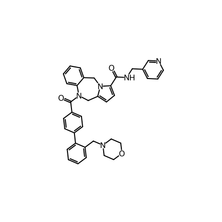 O=C(NCc1cccnc1)c1ccc2n1Cc1ccccc1N(C(=O)c1ccc(-c3ccccc3CN3CCOCC3)cc1)C2